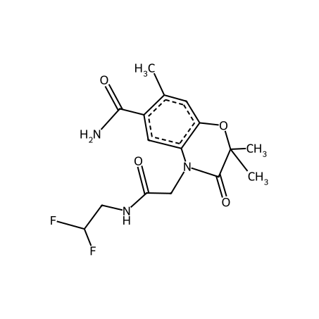 Cc1cc2c(cc1C(N)=O)N(CC(=O)NCC(F)F)C(=O)C(C)(C)O2